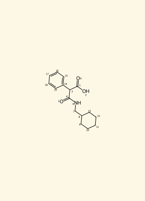 O=C(O)C(C(=O)NCC1CCCCC1)c1ccccc1